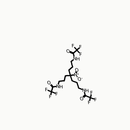 O=C(NCCCC(CCCNC(=O)C(F)(F)F)(CCCNC(=O)C(F)(F)F)[N+](=O)[O-])C(F)(F)F